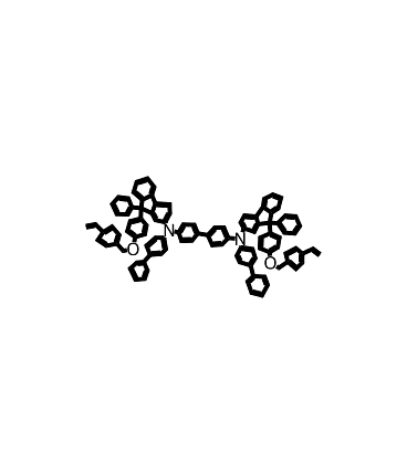 C=Cc1ccc(COc2ccc(C3(c4ccccc4)c4ccccc4-c4ccc(N(c5ccc(-c6ccccc6)cc5)c5ccc(-c6ccc(N(c7ccc(-c8ccccc8)cc7)c7ccc8c(c7)C(c7ccccc7)(c7ccc(OCc9ccc(C=C)cc9)cc7)c7ccccc7-8)cc6)cc5)cc43)cc2)cc1